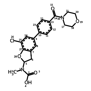 CN(C(=O)O)C1Cc2cc(-c3ccc(C(=O)N4CCOCC4)cc3)cc(Cl)c2O1